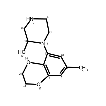 Cc1cc2c(c(N3CCNCC3O)c1)OCCO2